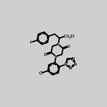 CCOC(=O)C(Cc1ccc(F)cc1)N1CC(=O)N(c2cc(Cl)ccc2-n2cnnn2)CC1=O